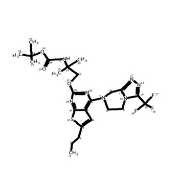 CCCc1cc2c(N3CCn4c(nnc4C(F)(F)F)C3)nc(OCC(C)(C)NC(=O)OC(C)(C)C)nc2s1